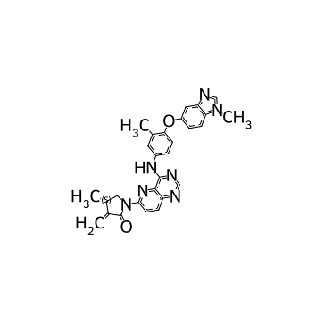 C=C1C(=O)N(c2ccc3ncnc(Nc4ccc(Oc5ccc6c(c5)ncn6C)c(C)c4)c3n2)C[C@H]1C